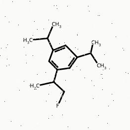 [CH2]C(CF)c1cc(C(C)C)cc(C(C)C)c1